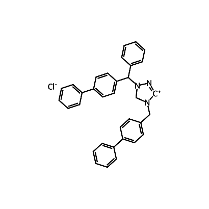 [C+]1=NN(C(c2ccccc2)c2ccc(-c3ccccc3)cc2)CN1Cc1ccc(-c2ccccc2)cc1.[Cl-]